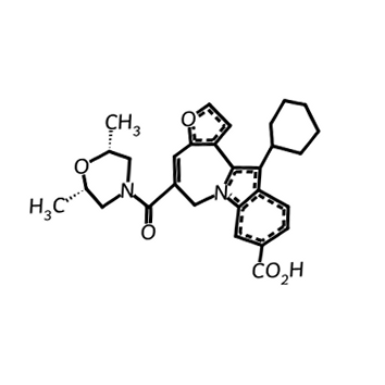 C[C@@H]1CN(C(=O)C2=Cc3occc3-c3c(C4CCCCC4)c4ccc(C(=O)O)cc4n3C2)C[C@H](C)O1